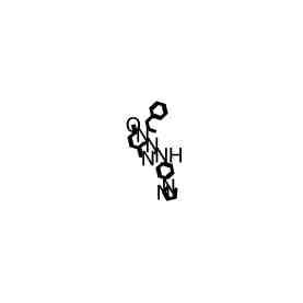 CC(Cc1ccccc1)n1c(=O)ccc2cnc(Nc3ccc(-n4cccn4)cc3)nc21